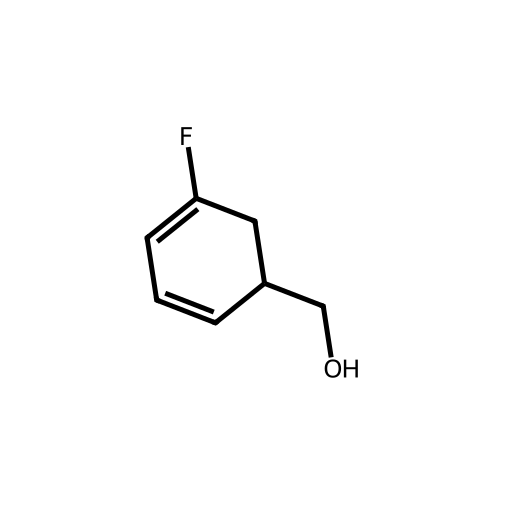 OCC1C=CC=C(F)C1